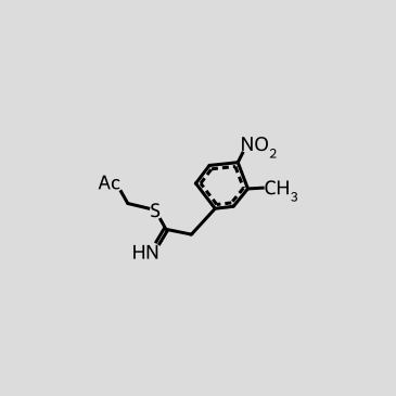 CC(=O)CSC(=N)Cc1ccc([N+](=O)[O-])c(C)c1